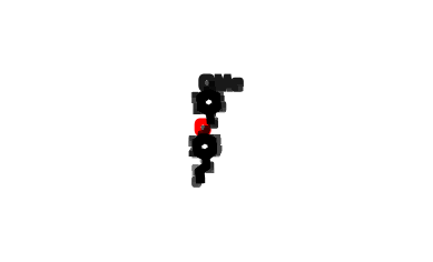 C=CCc1ccc(OCc2ccc(OC)cc2)cc1